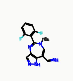 CCCCN1C=C(C=N)c2[nH]ncc2N=C1c1c(F)cccc1F